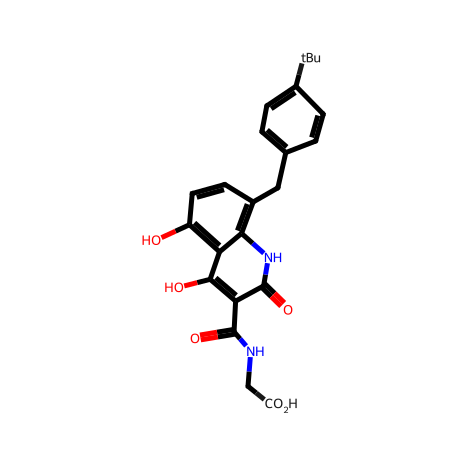 CC(C)(C)c1ccc(Cc2ccc(O)c3c(O)c(C(=O)NCC(=O)O)c(=O)[nH]c23)cc1